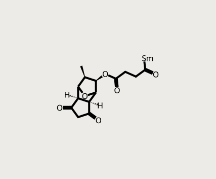 C[C@@H]1C2OC([C@H]3C(=O)CC(=O)[C@@H]23)[C@@H]1OC(=O)CC[C](=O)[Sm]